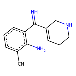 N#Cc1cccc(C(=N)C2=CCCNC2)c1N